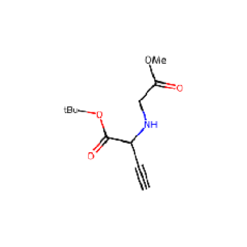 C#CC(NCC(=O)OC)C(=O)OC(C)(C)C